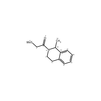 CSCC(=O)N1CCc2ccccc2C1C